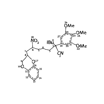 CCC(C)C(C#N)(CCCC(CC1COc2ccccc2O1)[N+](=O)[O-])c1cc(OC)c(OC)c(OC)c1